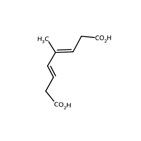 CC(C=CCC(=O)O)=CCC(=O)O